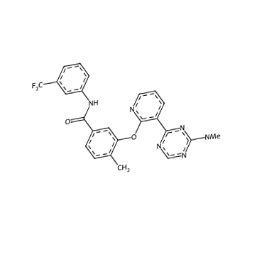 CNc1ncnc(-c2cccnc2Oc2cc(C(=O)Nc3cccc(C(F)(F)F)c3)ccc2C)n1